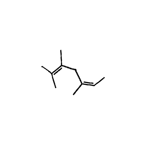 CC=C(C)CC(C)=C(C)C